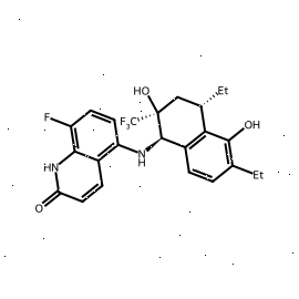 CCc1ccc2c(c1O)[C@@H](CC)C[C@@](O)(C(F)(F)F)[C@@H]2Nc1ccc(F)c2[nH]c(=O)ccc12